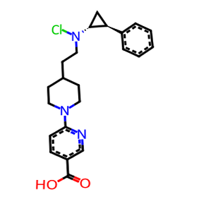 O=C(O)c1ccc(N2CCC(CCN(Cl)[C@@H]3C[C@H]3c3ccccc3)CC2)nc1